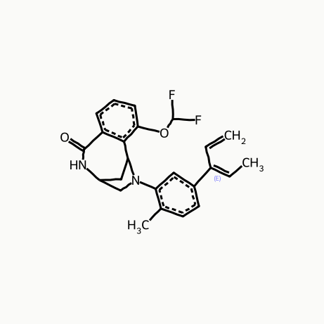 C=C/C(=C\C)c1ccc(C)c(N2CC3CC2c2c(OC(F)F)cccc2C(=O)N3)c1